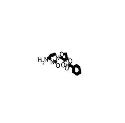 Nc1ccn([C@@H]2OC[C@H](OC(=O)c3ccccc3)[C@H]2O)c(=O)n1